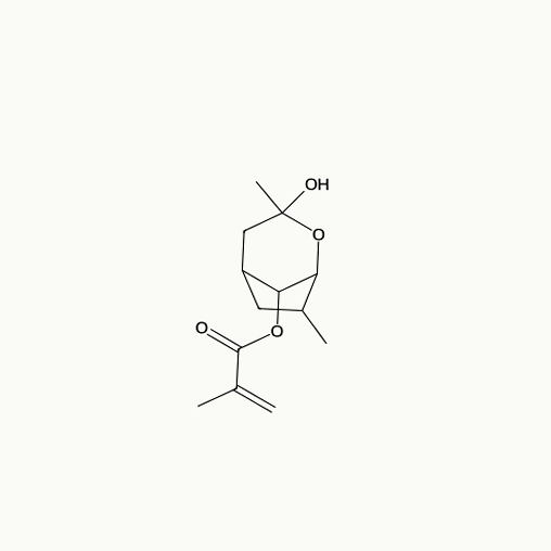 C=C(C)C(=O)OC1C2CC(C)C1OC(C)(O)C2